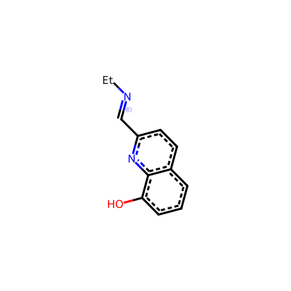 CC/N=C/c1ccc2cccc(O)c2n1